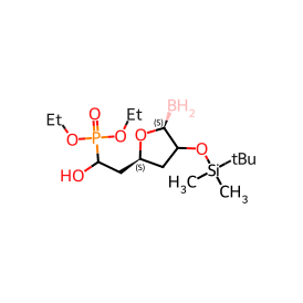 B[C@@H]1O[C@H](CC(O)P(=O)(OCC)OCC)CC1O[Si](C)(C)C(C)(C)C